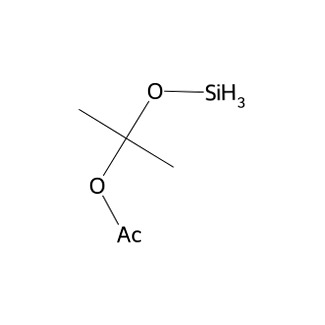 CC(=O)OC(C)(C)O[SiH3]